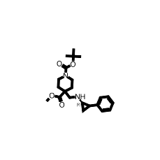 COC(=O)C1(CN[C@@H]2CC2c2ccccc2)CCN(C(=O)OC(C)(C)C)CC1